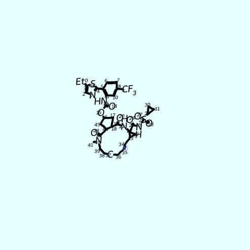 CCc1cnc(-c2ccc(C(F)(F)F)cc2NC(=O)OC2CC3C(=O)NC4(C(=O)NS(=O)(=O)C5CC5)CC4/C=C/CCCCN(C)C(=O)C3C2)s1